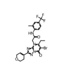 CCc1c(Br)c(=O)n2nc(C3=CCOCC3)nc2n1CC(=O)Nc1ccc(C(F)(F)F)cc1C